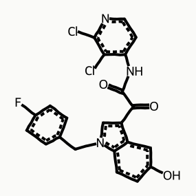 O=C(Nc1ccnc(Cl)c1Cl)C(=O)c1cn(Cc2ccc(F)cc2)c2ccc(O)cc12